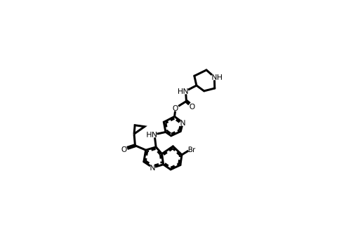 O=C(NC1CCNCC1)Oc1cc(Nc2c(C(=O)C3CC3)cnc3ccc(Br)cc23)ccn1